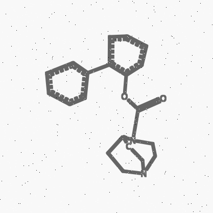 O=C(Oc1ccccc1-c1ccccc1)N1CCN2CCC1CC2